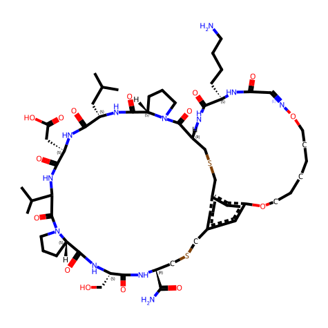 CC(C)C[C@@H]1NC(=O)[C@@H]2CCCN2C(=O)[C@@H]2CSCc3cc(cc(c3)OCCCCCCO/N=C/C(=O)N[C@@H](CCCCN)C(=O)N2)CSC[C@@H](C(N)=O)NC(=O)[C@H](CO)NC(=O)[C@@H]2CCCN2C(=O)C(C(C)C)NC(=O)[C@H](CC(=O)O)NC1=O